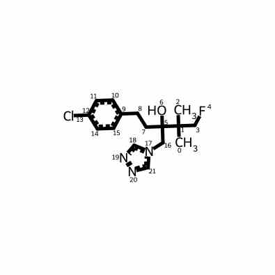 CC(C)(CF)C(O)(CCc1ccc(Cl)cc1)Cn1cnnc1